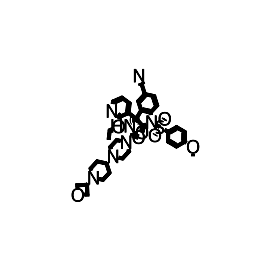 CCOc1ncccc1[C@@]1(NC(=O)N2CCN(C3CCN(C4COC4)CC3)CC2)C(=O)N(S(=O)(=O)c2ccc(OC)cc2)c2ccc(C#N)cc21